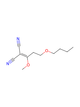 CCCCOCCC(OC)=C(C#N)C#N